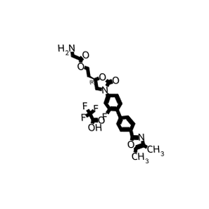 Cc1nc(-c2ccc(-c3ccc(N4C[C@@H](CCOC(=O)CN)OC4=O)cc3F)cc2)oc1C.O=C(O)C(F)(F)F